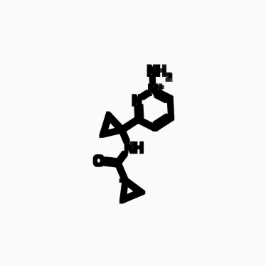 N[n+]1cccc(C2(NC(=O)[C]3CC3)CC2)n1